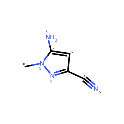 Cn1nc(C#N)cc1N